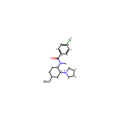 CSC1CCC(N(C)C(=O)c2ccc(Br)cc2)C(N2CCCC2)C1